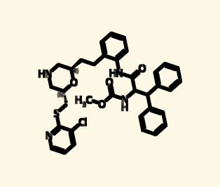 COC(=O)NC(C(=O)Nc1ccccc1CC[C@@H]1CNC[C@@H](CSc2ncccc2Cl)O1)C(c1ccccc1)c1ccccc1